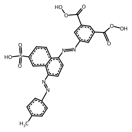 Cc1ccc(N=Nc2ccc(N=Nc3cc(C(=O)OO)cc(C(=O)OO)c3)c3ccc(S(=O)(=O)O)cc23)cc1